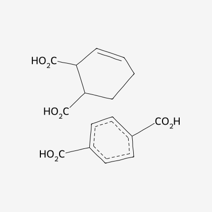 O=C(O)C1C=CCCC1C(=O)O.O=C(O)c1ccc(C(=O)O)cc1